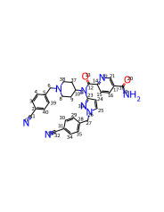 N#Cc1ccc(CN2CCC(N(C(=O)c3ccc(C(N)=O)cn3)c3ccn(Cc4ccc(C#N)cc4)n3)CC2)cc1